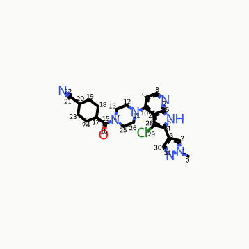 Cn1cc(-c2[nH]c3nccc(N4CCN(C(=O)C5CCC(C#N)CC5)CC4)c3c2Cl)cn1